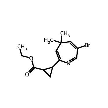 CCOC(=O)C1CC1C1=CC(C)(C)C=C(Br)C=N1